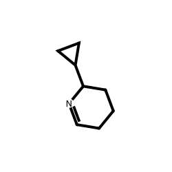 C1=NC(C2CC2)CCC1